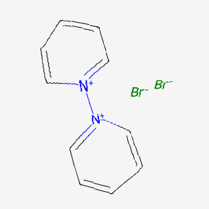 [Br-].[Br-].c1cc[n+](-[n+]2ccccc2)cc1